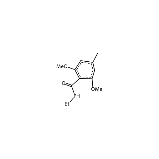 CCPC(=O)c1c(OC)cc(C)cc1OC